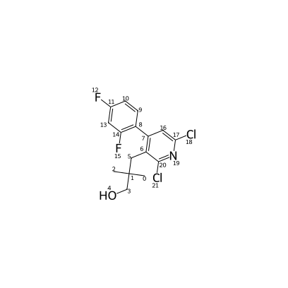 CC(C)(CO)Cc1c(-c2ccc(F)cc2F)cc(Cl)nc1Cl